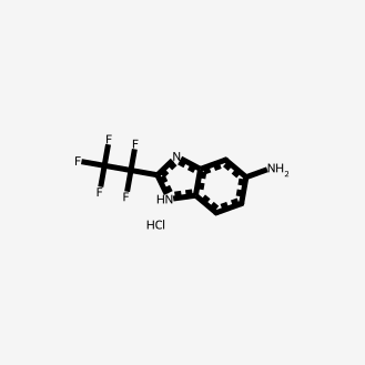 Cl.Nc1ccc2[nH]c(C(F)(F)C(F)(F)F)nc2c1